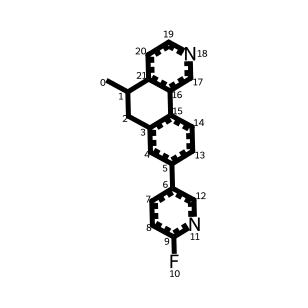 CC1Cc2cc(-c3ccc(F)nc3)ccc2-c2cnccc21